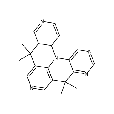 CC1(C)c2cncc3c2N(c2cncnc21)C1C=CN=CC1C3(C)C